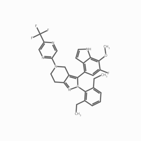 CCc1cccc(CC)c1-n1nc2c(c1-c1cc(F)c(OC)c3[nH]ccc13)CN(c1cnc(C(F)(F)F)cn1)CC2